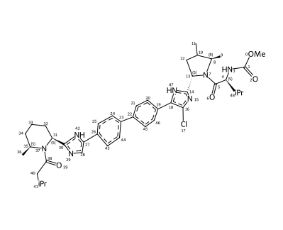 COC(=O)N[C@H](C(=O)N1[C@H](C)C(C)C[C@H]1c1nc(Cl)c(-c2ccc(-c3ccc(-c4cnc([C@@H]5CCC[C@H](C)N5C(=O)CC(C)C)[nH]4)cc3)cc2)[nH]1)C(C)C